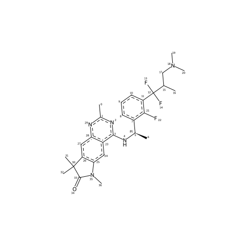 Cc1nc(N[C@H](C)c2cccc(C(F)(F)C(C)CN(C)C)c2F)c2cc3c(cc2n1)C(C)(C)C(=O)N3C